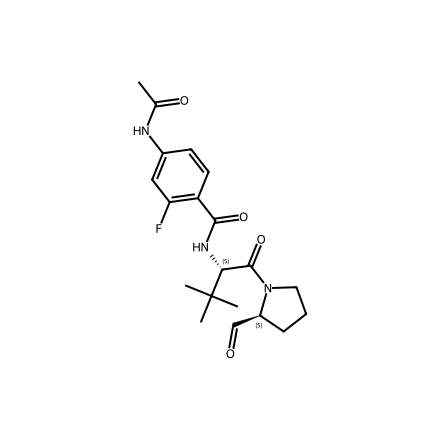 CC(=O)Nc1ccc(C(=O)N[C@H](C(=O)N2CCC[C@H]2C=O)C(C)(C)C)c(F)c1